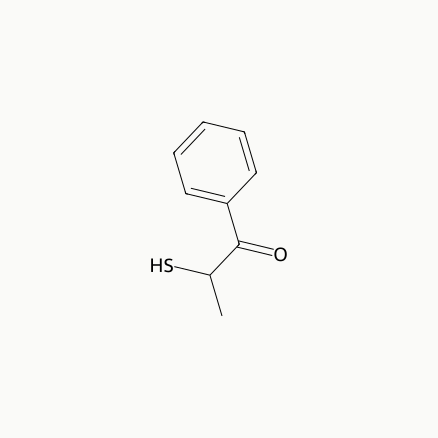 CC(S)C(=O)c1ccccc1